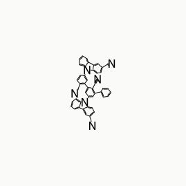 N#Cc1ccc2c(c1)c1ccccc1n2-c1ccc(C#N)c(-c2cc(-n3c4ccccc4c4cc(C#N)ccc43)cc(-c3ccccc3)c2C#N)c1